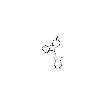 CN1CCc2c(c3ccccc3n2CCc2ccncc2F)C1